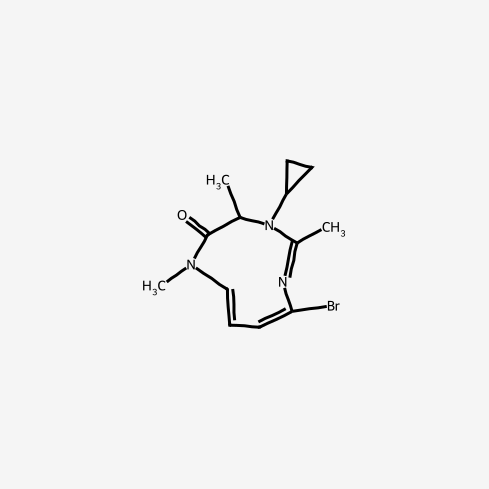 C\C1=N/C(Br)=C\C=C\N(C)C(=O)C(C)N1C1CC1